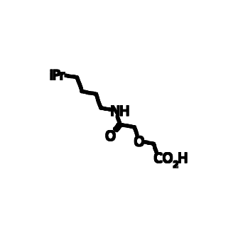 CC(C)CCCCNC(=O)COCC(=O)O